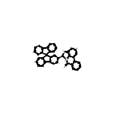 O=c1c2ccccc2c2cccc3nc(-c4ccc5c(c4)C4(c6ccccc6-c6ccccc64)c4ccccc4-5)n1c32